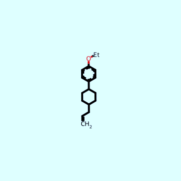 C=CCC1CCC(c2ccc(OCC)cc2)CC1